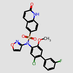 COc1cc(-c2cccc(F)c2)c(Cl)cc1N(c1ccon1)S(=O)(=O)c1ccc2[nH]c(=O)ccc2c1